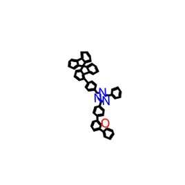 c1ccc(-c2nc(-c3ccc(-c4cccc5c4-c4ccccc4C54c5ccccc5-c5ccccc54)cc3)nc(-c3ccc(-c4cccc5c4oc4ccccc45)cc3)n2)cc1